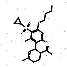 C=C(C)C1CCC(C)=CC1c1c(O)cc(CCCCC)c(S(=O)(=O)C2CC2)c1O